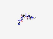 CCc1cc(NC(=O)c2ncc(-c3cn(CC#N)nc3C(F)(F)F)n2C)ccc1C(=O)N1CCN(C(=O)NC2C3CNCC32)CC1